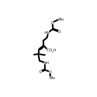 CC(C)(/C=C(/CCNC(=O)OC(C)(C)C)C(=O)O)CNC(=O)OC(C)(C)C